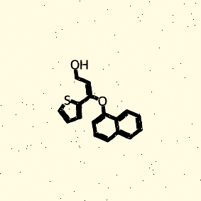 OCC=C(Oc1cccc2ccccc12)c1cccs1